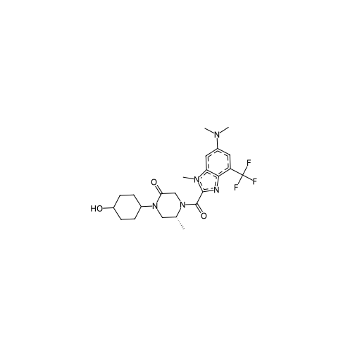 C[C@@H]1CN(C2CCC(O)CC2)C(=O)CN1C(=O)c1nc2c(C(F)(F)F)cc(N(C)C)cc2n1C